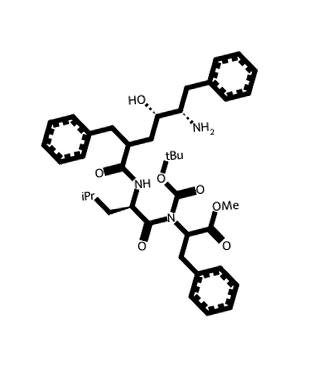 COC(=O)C(Cc1ccccc1)N(C(=O)OC(C)(C)C)C(=O)[C@@H](CC(C)C)NC(=O)C(Cc1ccccc1)C[C@H](O)[C@@H](N)Cc1ccccc1